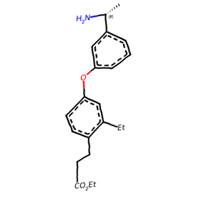 CCOC(=O)CCc1ccc(Oc2cccc([C@@H](C)N)c2)cc1CC